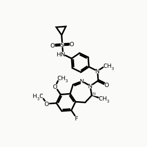 COc1cc(F)c2c(c1OC)C=NN(C(=O)N(C)c1ccc(NS(=O)(=O)C3CC3)cc1)[C@@H](C)C2